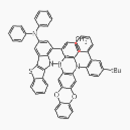 Cc1cc2c3c(c1)N(c1ccc(C(C)(C)C)cc1-c1ccccc1)c1cc4c(cc1B3n1c3c-2cc(N(c2ccccc2)c2ccccc2)cc3c2sc3ccccc3c21)Oc1ccccc1O4